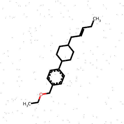 CC/C=C/CC1CCC(c2ccc(COCC)cc2)CC1